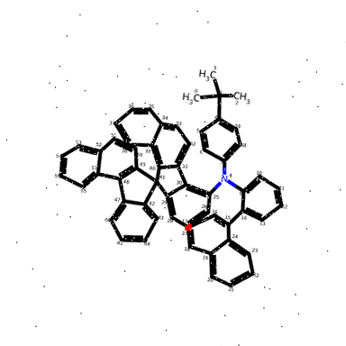 CC(C)(C)c1ccc(N(c2ccccc2-c2cccc3ccccc23)c2cccc3c2-c2ccc4ccccc4c2C32c3ccccc3-c3c2ccc2ccccc32)cc1